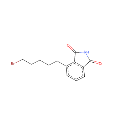 O=C1NC(=O)c2c(CCCCCBr)cccc21